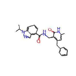 Cc1cc(Cc2ccccc2)c(CNC(=O)c2cccc3c2cnn3C(C)C)c(=O)[nH]1